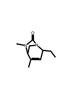 CCC1C=C(C)C2CN1C(=O)N2C